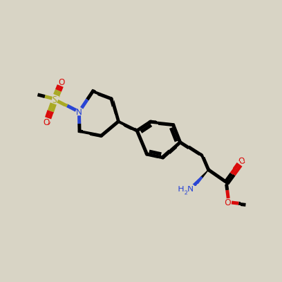 COC(=O)[C@@H](N)Cc1ccc(C2CCN(S(C)(=O)=O)CC2)cc1